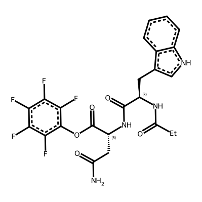 CCC(=O)N[C@H](Cc1c[nH]c2ccccc12)C(=O)N[C@H](CC(N)=O)C(=O)Oc1c(F)c(F)c(F)c(F)c1F